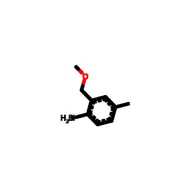 COCc1cc(C)cc[c]1[BiH2]